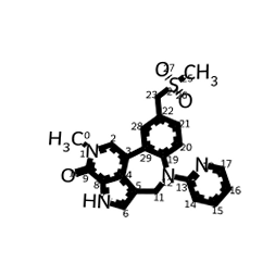 Cn1cc2c3c(c[nH]c3c1=O)CN(c1ccccn1)c1ccc(CS(C)(=O)=O)cc1-2